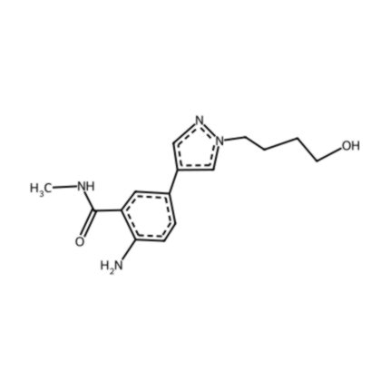 CNC(=O)c1cc(-c2cnn(CCCCO)c2)ccc1N